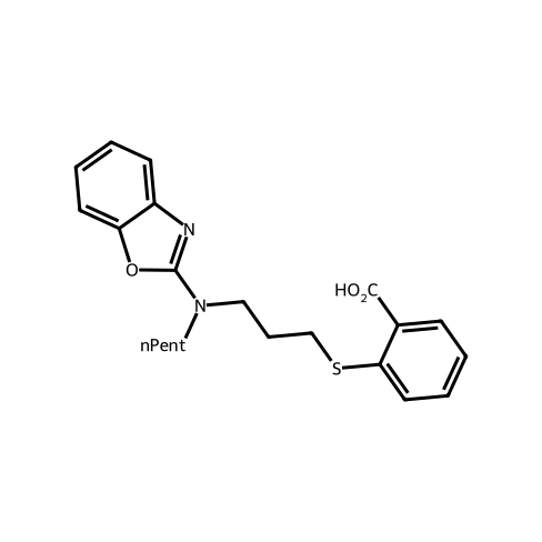 CCCCCN(CCCSc1ccccc1C(=O)O)c1nc2ccccc2o1